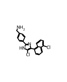 NCc1ccc(-c2nc(-c3cccc4c(Cl)cccc34)c(Cl)[nH]2)cc1